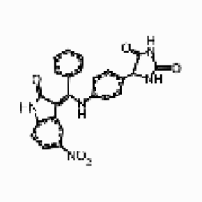 O=C1NC(=O)C(c2ccc(NC(=C3C(=O)Nc4ccc([N+](=O)[O-])cc43)c3ccccc3)cc2)N1